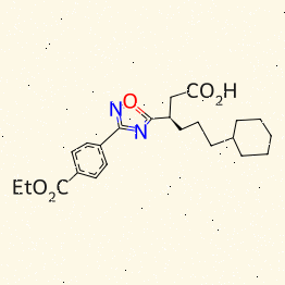 CCOC(=O)c1ccc(-c2noc([C@H](CCCC3CCCCC3)CC(=O)O)n2)cc1